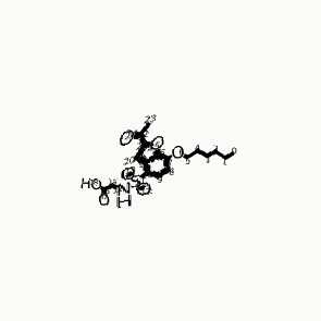 CCCCCCOc1ccc(S(=O)(=O)NCC(=O)O)c2cc(C(C)=O)oc12